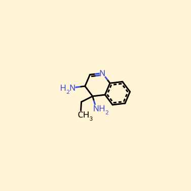 CCC1(N)c2ccccc2N=CC1N